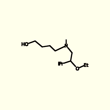 CCOC(CN(C)CCCCO)C(C)C